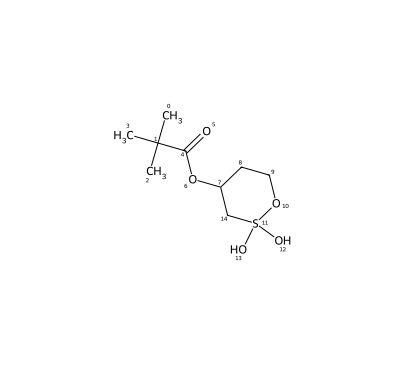 CC(C)(C)C(=O)OC1CCOS(O)(O)C1